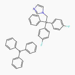 Fc1ccc([Si](Cn2ccnc2)(c2ccccc2)c2ccc(F)cc2)cc1.c1ccc(B(c2ccccc2)c2ccccc2)cc1